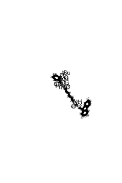 CC(C)(C)OC(=O)NC1(C(=O)NNC(=O)CCCCCNC(=O)OCC2c3ccccc3-c3ccccc32)CCCC1